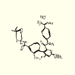 COc1ccc(-c2ccc(C(=O)NC3(C(C)C)COC(C)(C)CO3)cc2C(=O)O)c(C(=O)Nc2ccc(C(=N)N)cc2)n1.Cl